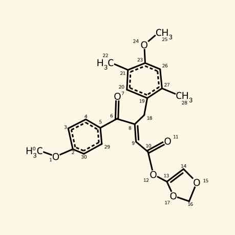 COc1ccc(C(=O)C(=CC(=O)OC2=COCO2)Cc2cc(C)c(OC)cc2C)cc1